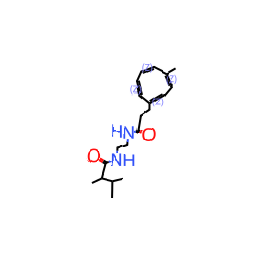 CC1=C/C=C(CCC(=O)NCCNC(=O)C(C)C(C)C)\C=C/C=C\1